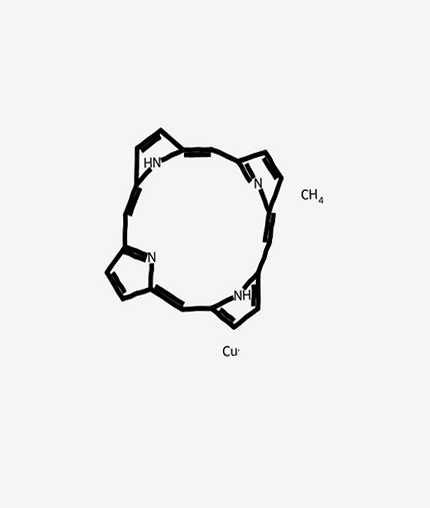 C.C1=Cc2cc3ccc(cc4nc(cc5ccc(cc1n2)[nH]5)C=C4)[nH]3.[Cu]